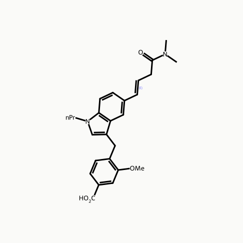 CCCn1cc(Cc2ccc(C(=O)O)cc2OC)c2cc(/C=C/CC(=O)N(C)C)ccc21